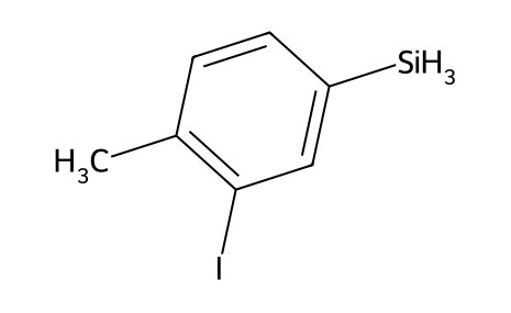 Cc1ccc([SiH3])cc1I